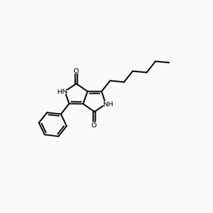 CCCCCCC1=C2C(=O)NC(c3ccccc3)=C2C(=O)N1